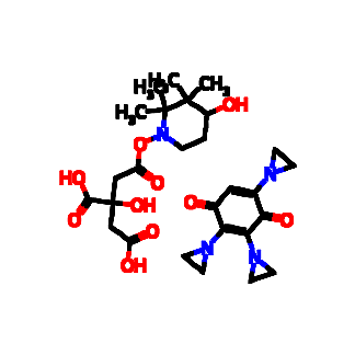 CC1(C)C(O)CCN(OC(=O)CC(O)(CC(=O)O)C(=O)O)C1(C)C.O=C1C=C(N2CC2)C(=O)C(N2CC2)=C1N1CC1